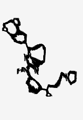 O=C(CCCN1CCCC1)c1cccc(Nc2nc3cccc(-c4ccc5c(c4)OCCO5)n3n2)c1